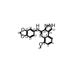 COc1cccc2c1nc(Nc1ccc3c(c1)OCO3)c1n[nH]cc12